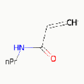 [CH]=CC(=O)NCCC